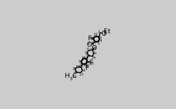 CCOCc1ccc(C(=O)OC2CCC(c3ccc(C4CCC(C)CC4)c(F)c3F)CC2)c(F)c1